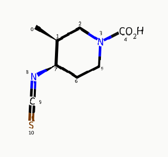 C[C@H]1CN(C(=O)O)CC[C@H]1N=C=S